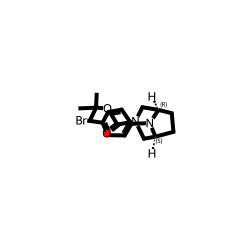 CC(C)(C)OC(=O)N1C[C@H]2CC[C@@H](C1)N2c1ccc(Br)cc1